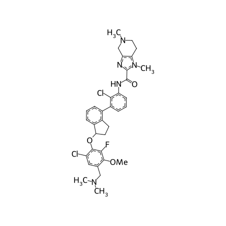 COc1c(CN(C)C)cc(Cl)c(OC2CCc3c(-c4cccc(NC(=O)c5nc6c(n5C)CCN(C)C6)c4Cl)cccc32)c1F